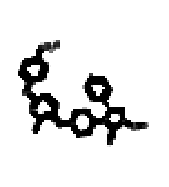 CON1C[C@@H](c2ccccc2)N(C2CCN(Cc3ccc(Oc4ccc(C(=O)O)cc4)nc3C)CC2)C1=O